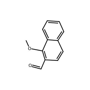 COc1c(C=O)ccc2ccccc12